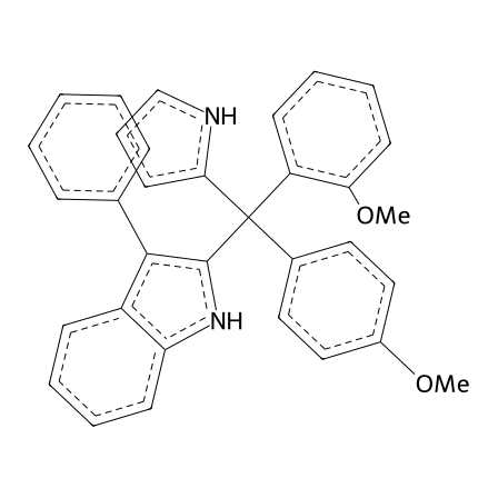 COc1ccc(C(c2ccc[nH]2)(c2ccccc2OC)c2[nH]c3ccccc3c2-c2ccccc2)cc1